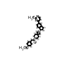 COc1ccc(CC(=O)N2CCC3(CC2)CN(C2CCc4cc(-c5ccnc(C)n5)ccc42)C3)cc1